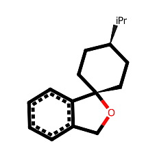 CC(C)[C@H]1CC[C@@]2(CC1)OCc1ccccc12